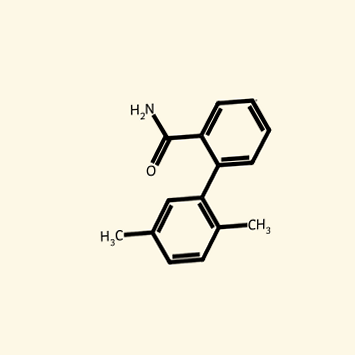 Cc1ccc(C)c(-c2cc[c]cc2C(N)=O)c1